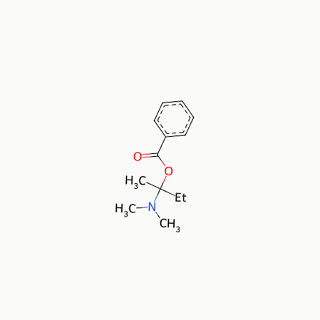 CCC(C)(OC(=O)c1ccccc1)N(C)C